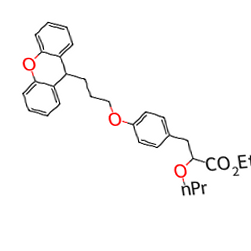 CCCOC(Cc1ccc(OCCCC2c3ccccc3Oc3ccccc32)cc1)C(=O)OCC